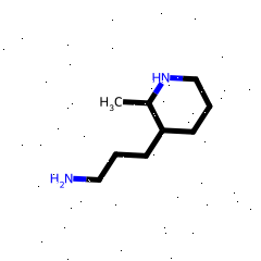 C[C]1NCCCC1CCCN